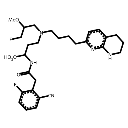 COC(CF)CN(CCCCc1ccc2c(n1)NCCC2)CCC(NC(=O)Cc1c(F)cccc1C#N)C(=O)O